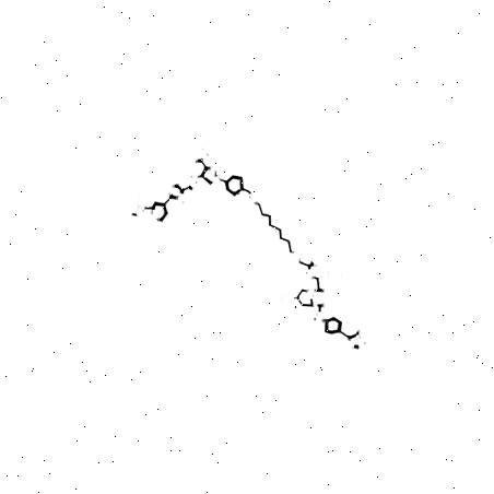 Cc1ncsc1-c1ccc(N(C)C(=O)[C@@H]2C[C@@H](O)CN2C(=O)[C@@H](NC(=O)COCCCCCCCCNC(=O)c2ccc(-n3cc(NC(=O)c4coc(-c5ccnc(NCC(F)(F)F)c5)n4)c(C(N)=O)n3)cc2)C(C)(C)C)cc1